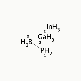 BP.[GaH3].[InH3]